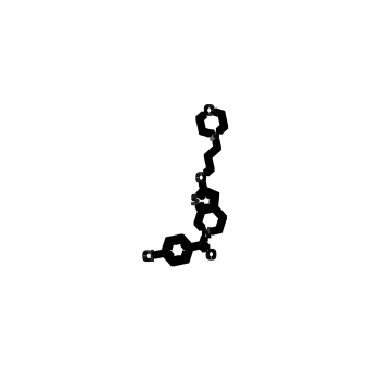 O=C(c1ccc(Cl)cc1)N1CCc2cc(OCCCN3CCOCC3)sc2C1